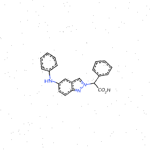 O=C(O)C(c1ccccc1)n1cc2cc(Nc3ccccc3)ccc2n1